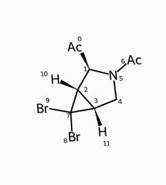 CC(=O)[C@@H]1[C@@H]2[C@H](CN1C(C)=O)C2(Br)Br